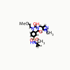 COCCN1c2ccc(S(=O)(=O)NC3(C)CC3)cc2C(=O)N(Cc2cnn(C)c2)C1O